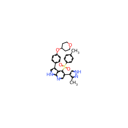 Cc1ccc(S(=O)(=O)c2c(-c3c[nH]nc3C)cnc3[nH]cc(-c4ccc(OC5CCOCC5)cc4)c23)cc1